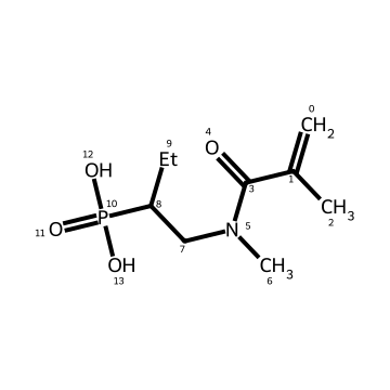 C=C(C)C(=O)N(C)CC(CC)P(=O)(O)O